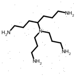 NCCCC(CCCN)N(CCCN)CCCN